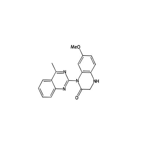 COc1ccc2c(c1)N(c1nc(C)c3ccccc3n1)C(=O)CN2